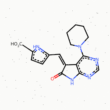 O=C1Nc2ncnc(N3CCCCC3)c2C1=Cc1ccc(C(=O)O)[nH]1